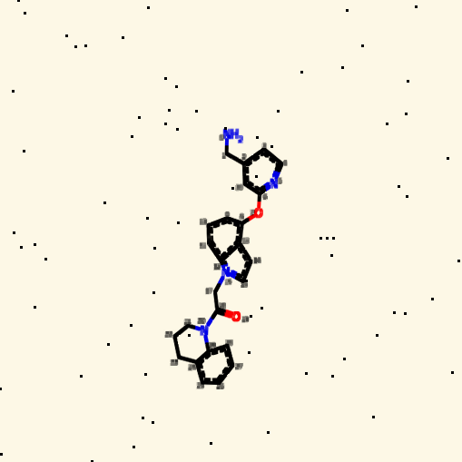 NCc1ccnc(Oc2cccc3c2ccn3CC(=O)N2CCCc3ccccc32)c1